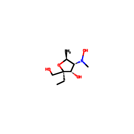 B[C@@H]1O[C@](CC)(CO)[C@@H](O)[C@H]1N(C)O